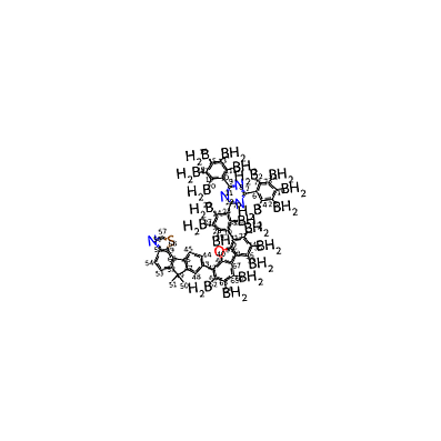 Bc1c(B)c(B)c(-c2nc(-c3c(B)c(B)c(B)c(B)c3B)nc(-c3c(B)c(B)c(B)c(-c4c(B)c(B)c(B)c5c4oc4c(-c6ccc7c(c6)C(C)(C)c6ccc8ncsc8c6-7)c(B)c(B)c(B)c45)c3B)n2)c(B)c1B